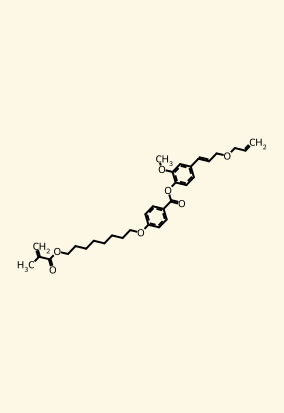 C=CCOC/C=C/c1ccc(OC(=O)c2ccc(OCCCCCCCCOC(=O)C(=C)C)cc2)c(OC)c1